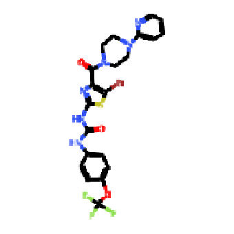 O=C(Nc1ccc(OC(F)(F)F)cc1)Nc1nc(C(=O)N2CCN(c3ccccn3)CC2)c(Br)s1